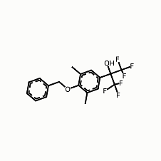 Cc1cc(C(O)(C(F)(F)F)C(F)(F)F)cc(C)c1OCc1ccccc1